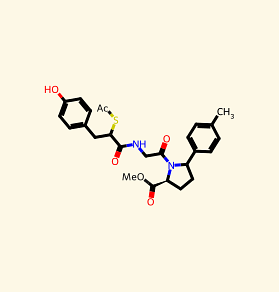 COC(=O)[C@@H]1CCC(c2ccc(C)cc2)N1C(=O)CNC(=O)C(Cc1ccc(O)cc1)SC(C)=O